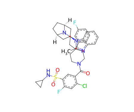 Cc1nc2ccccc2n1[C@H]1C[C@H]2CC[C@@H](C1)N2CCC1(c2cccc(F)c2)CCN(C(=O)c2cc(S(=O)(=O)NC3CC3)c(F)cc2Cl)CC1